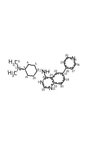 CN(C)[C@H]1CC[C@H](Nc2ncnc3ccc(-c4ccncc4)cc23)CC1